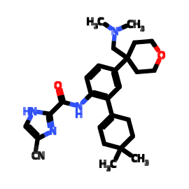 CN(C)CC1(c2ccc(NC(=O)c3nc(C#N)c[nH]3)c(C3=CCC(C)(C)CC3)c2)CCOCC1